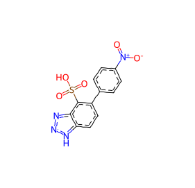 O=[N+]([O-])c1ccc(-c2ccc3[nH]nnc3c2S(=O)(=O)O)cc1